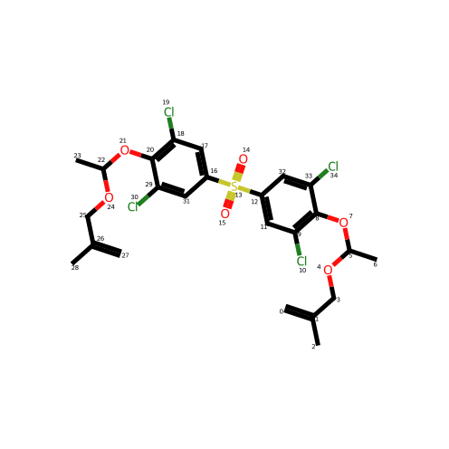 C=C(C)COC(C)Oc1c(Cl)cc(S(=O)(=O)c2cc(Cl)c(OC(C)OCC(=C)C)c(Cl)c2)cc1Cl